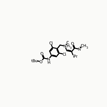 C=NC(=O)/C(=C\N(C)Cc1c(Cl)cc(NC(=O)OC(C)(C)C)cc1Cl)C(C)C